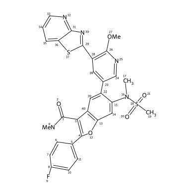 CNC(=O)c1c(-c2ccc(F)cc2)oc2cc(N(C)S(C)(=O)=O)c(-c3cnc(OC)c(-c4nc5ncccc5s4)c3)cc12